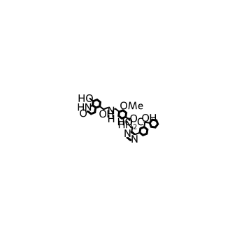 COc1cc(C(=O)NCc2nccnc2-c2cccc([C@](O)(C(=O)O)c3ccccc3)c2)ccc1CNC[C@H](O)c1ccc(O)c2[nH]c(=O)ccc12